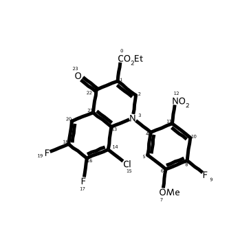 CCOC(=O)c1cn(-c2cc(OC)c(F)cc2[N+](=O)[O-])c2c(Cl)c(F)c(F)cc2c1=O